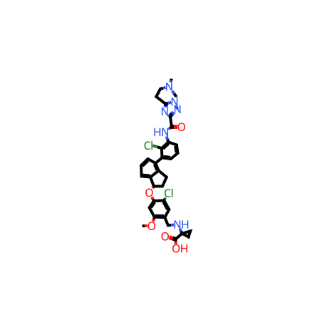 COc1cc(OC2CCc3c(-c4cccc(NC(=O)c5nc6n(n5)CN(C)CC6)c4Cl)cccc32)c(Cl)cc1CNC1(C(=O)O)CC1